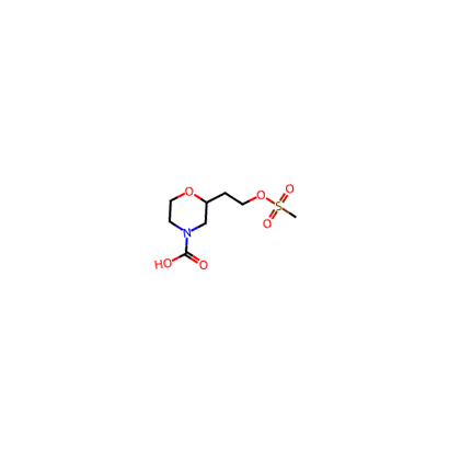 CS(=O)(=O)OCCC1CN(C(=O)O)CCO1